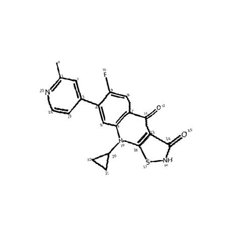 Cc1cc(-c2cc3c(cc2F)c(=O)c2c(=O)[nH]sc2n3C2CC2)ccn1